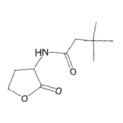 CC(C)(C)CC(=O)NC1CCOC1=O